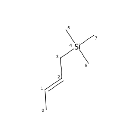 C/C=C/C[Si](C)(C)C